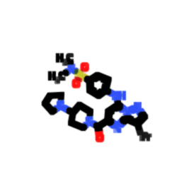 CC(C)c1cnn2c(Nc3ccc(S(=O)(=O)N(C)C)cc3)cc(C(=O)N3CCC(N4CCCC4)CC3)nc12